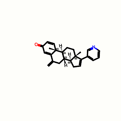 C=C1C[C@@H]2[C@H](CC[C@]3(C)C(c4cccnc4)=CC[C@@H]23)[C@@]2(C)C=CC(=O)C=C12